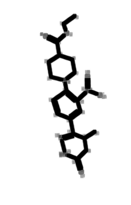 CCOC(=O)C1CCN(c2ccc(C3=NNC(=O)CC3C)cc2[N+](=O)[O-])CC1